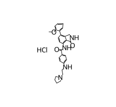 COc1ccccc1-c1ccc(NC(=O)c2ccc(NCCN3CCCC3)cc2)c2c1CNC2=O.Cl